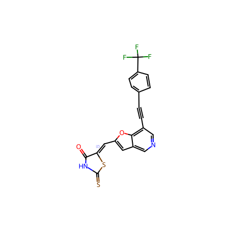 O=C1NC(=S)S/C1=C\c1cc2cncc(C#Cc3ccc(C(F)(F)F)cc3)c2o1